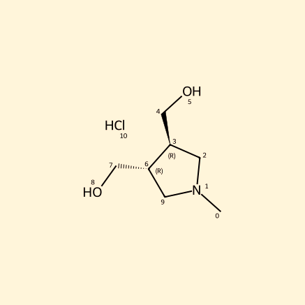 CN1C[C@H](CO)[C@@H](CO)C1.Cl